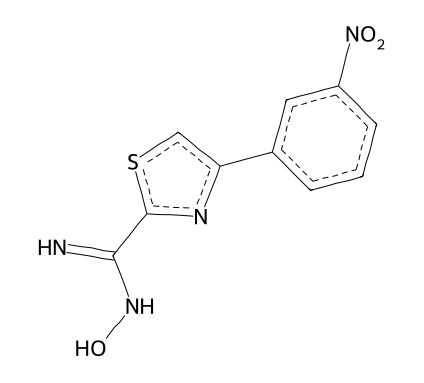 N=C(NO)c1nc(-c2cccc([N+](=O)[O-])c2)cs1